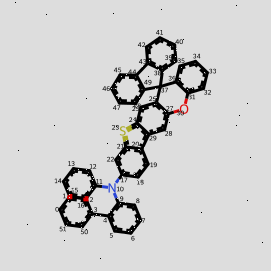 c1ccc(-c2ccccc2N(c2ccccc2)c2ccc3c(c2)sc2cc4c(cc23)Oc2ccccc2C42c3ccccc3-c3ccccc32)cc1